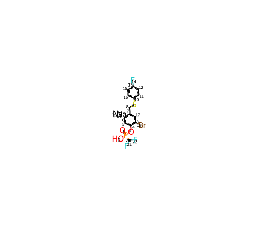 O=P(O)(Oc1ccc(CSc2ccc(F)cc2)cc1Br)C(F)F.[Na].[Na]